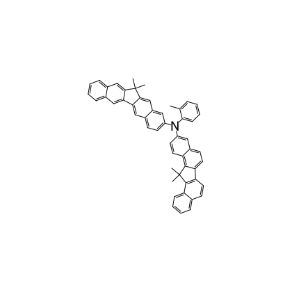 Cc1ccccc1N(c1ccc2cc3c(cc2c1)C(C)(C)c1cc2ccccc2cc1-3)c1ccc2c3c(ccc2c1)-c1ccc2ccccc2c1C3(C)C